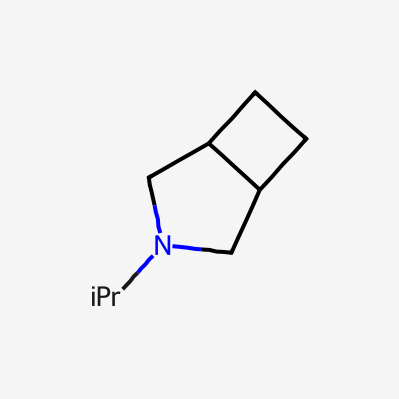 CC(C)N1CC2CCC2C1